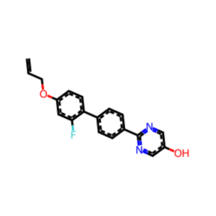 C=CCOc1ccc(-c2ccc(-c3ncc(O)cn3)cc2)c(F)c1